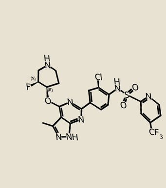 Cc1n[nH]c2nc(-c3ccc(NS(=O)(=O)c4cc(C(F)(F)F)ccn4)c(Cl)c3)nc(O[C@@H]3CCNC[C@@H]3F)c12